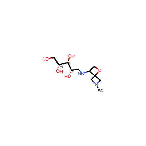 CC(=O)N1CC2(C1)OCC2NC[C@H](O)[C@H](O)[C@H](O)CO